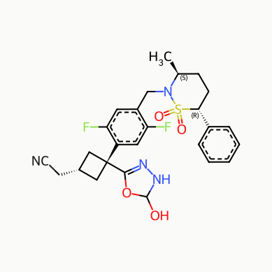 C[C@H]1CC[C@H](c2ccccc2)S(=O)(=O)N1Cc1cc(F)c([C@]2(C3=NNC(O)O3)C[C@@H](CC#N)C2)cc1F